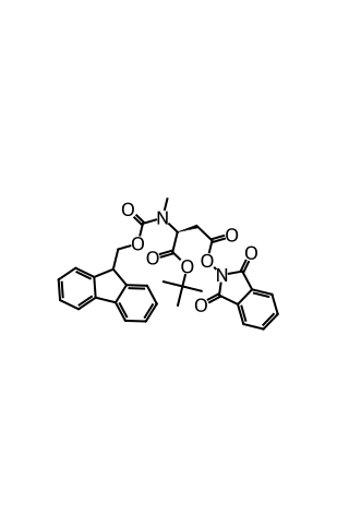 CN(C(=O)OCC1c2ccccc2-c2ccccc21)[C@@H](CC(=O)ON1C(=O)c2ccccc2C1=O)C(=O)OC(C)(C)C